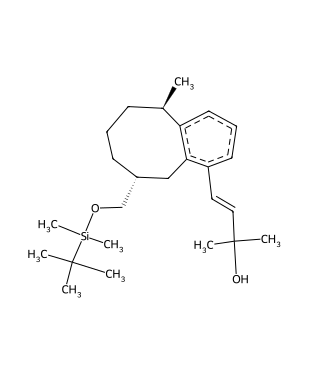 C[C@@H]1CCC[C@@H](CO[Si](C)(C)C(C)(C)C)Cc2c(/C=C/C(C)(C)O)cccc21